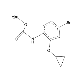 CC(C)(C)OC(=O)Nc1ccc(Br)cc1OC1CC1